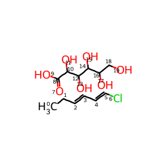 CCC=CC=CCl.O=C(O)C(O)C(O)C(O)C(O)CO